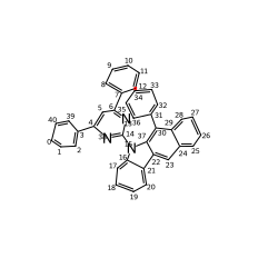 c1ccc(-c2cc(-c3ccccc3)nc(-n3c4ccccc4c4cc5ccccc5c(-c5ccccc5)c43)n2)cc1